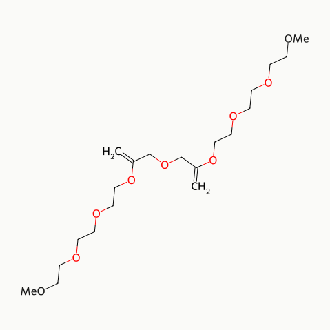 C=C(COCC(=C)OCCOCCOCCOC)OCCOCCOCCOC